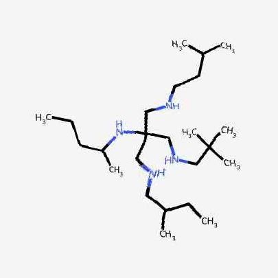 CCCC(C)NC(CNCCC(C)C)(CNCC(C)CC)CNCC(C)(C)C